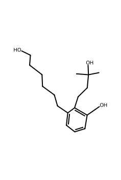 CC(C)(O)CCc1c(O)cccc1CCCCCCO